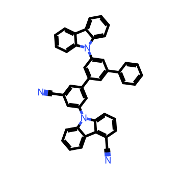 N#Cc1cc(-c2cc(-c3ccccc3)cc(-n3c4ccccc4c4ccccc43)c2)cc(-n2c3ccccc3c3c(C#N)cccc32)c1